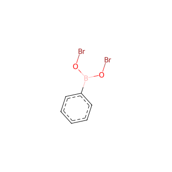 BrOB(OBr)c1ccccc1